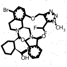 Cn1nnc(COc2ccc(Br)c3c2[C@@H](CN2Cc4ccccc4C2=O)N(C(=O)[C@@H]2CCCC[C@@H]2C(=O)O)CC3)c1C(F)F